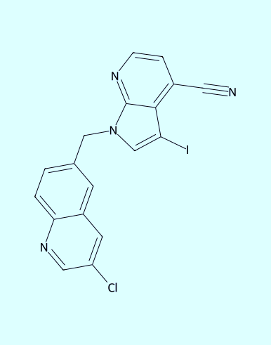 N#Cc1ccnc2c1c(I)cn2Cc1ccc2ncc(Cl)cc2c1